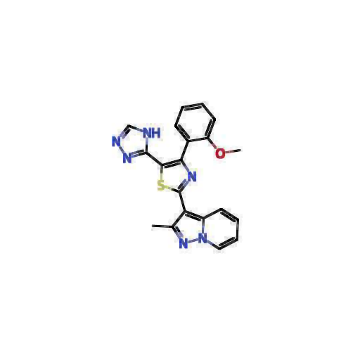 COc1ccccc1-c1nc(-c2c(C)nn3ccccc23)sc1-c1nnc[nH]1